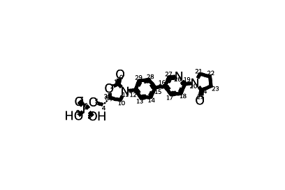 O=C1O[C@@H](COP(=O)(O)O)CN1c1ccc(-c2ccc(N3CCCC3=O)nc2)cc1